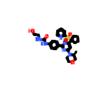 C[C@H]1COCCN1c1cc(C2(S(=O)(=O)c3ccccn3)CCCC2)nc(-c2ccc(NC(=O)NCCO)cc2)n1